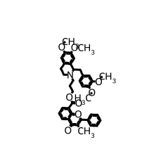 COc1ccc(CC2c3cc(OC)c(OC)cc3CCN2CCCOC(=O)c2cccc3c(=O)c(C)c(-c4ccccc4)oc23)cc1OC